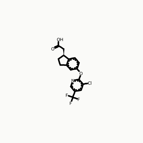 O=C(O)C[C@@H]1CCc2cc(Oc3ncc(C(F)(F)F)cc3Cl)ccc21